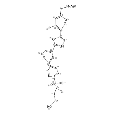 CNCc1ccc(-c2nnc(-c3cncc(-c4ccc(S(=O)(=O)C(C)CCO)cc4)n3)o2)c(F)c1